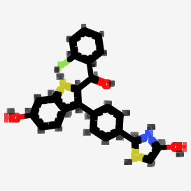 O=C(c1ccccc1F)c1sc2cc(O)ccc2c1-c1ccc(-c2nc(O)cs2)cc1